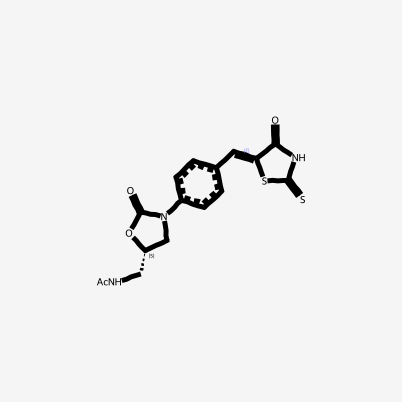 CC(=O)NC[C@H]1CN(c2ccc(/C=C3\SC(=S)NC3=O)cc2)C(=O)O1